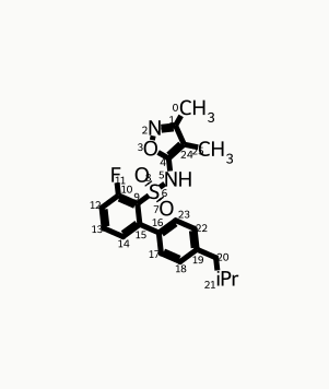 Cc1noc(NS(=O)(=O)c2c(F)cccc2-c2ccc(CC(C)C)cc2)c1C